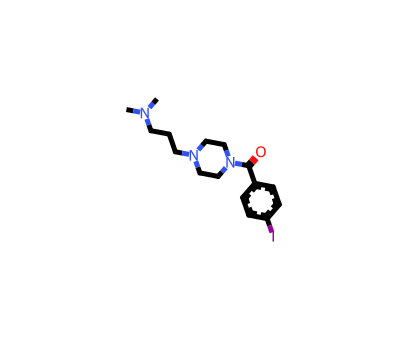 CN(C)CCCN1CCN(C(=O)c2ccc(I)cc2)CC1